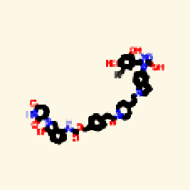 CC(C)c1cc(-c2nnc(O)n2-c2ccc3c(ccn3CCC3CCN(C(=O)Cc4ccc(COC(=O)Nc5cccc6c5CN(C5CCC(=O)NC5=O)C6=O)cc4)CC3)c2)c(O)cc1O